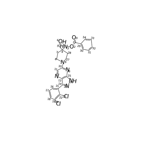 O=C(ONC1(CO)CCN(c2cnc3c(-c4cccc(Cl)c4Cl)n[nH]c3n2)CC1)c1ccccc1